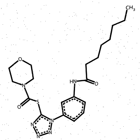 CCCCCCCC(=O)Nc1cccc(-n2nnnc2SC(=O)N2CCOCC2)c1